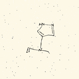 CCN(C)c1[c]n[nH]c1